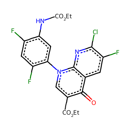 CCOC(=O)Nc1cc(-n2cc(C(=O)OCC)c(=O)c3cc(F)c(Cl)nc32)c(F)cc1F